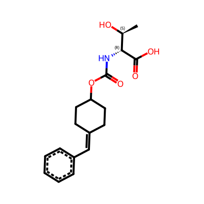 C[C@H](O)[C@@H](NC(=O)OC1CCC(=Cc2ccccc2)CC1)C(=O)O